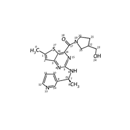 Cc1cc2nc(N[C@@H](C)c3cccnc3)nc(C(=O)N3CCC(CO)C3)c2s1